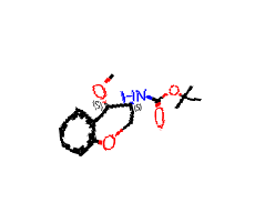 CO[C@H]1c2ccccc2OC[C@@H]1NC(=O)OC(C)(C)C